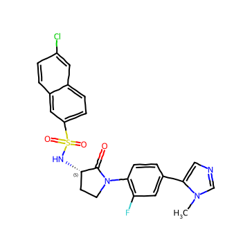 Cn1cncc1-c1ccc(N2CC[C@H](NS(=O)(=O)c3ccc4cc(Cl)ccc4c3)C2=O)c(F)c1